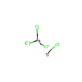 [Cl][Fe]([Cl])[Cl].[Cl][Ti]